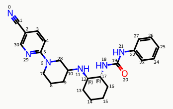 N#Cc1ccc(N2CCCC(N[C@@H]3CCCC[C@H]3NC(=O)Nc3ccccc3)C2)nc1